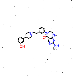 CCNc1ncc2c(n1)N(C)CCN(c1cccc(CCN3CCC(c4cccc(O)c4)CC3)c1)C2=O